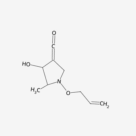 C=CCON1CC(=C=O)C(O)C1C